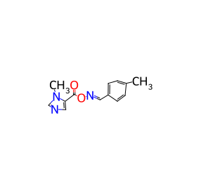 Cc1ccc(C=NOC(=O)c2cncn2C)cc1